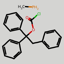 CP.O=C(Cl)OC(Cc1ccccc1)(c1ccccc1)c1ccccc1